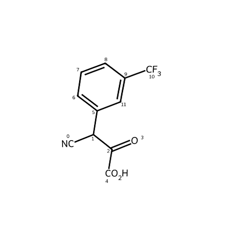 N#CC(C(=O)C(=O)O)c1cccc(C(F)(F)F)c1